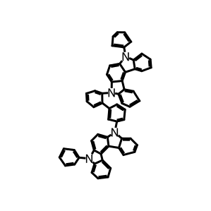 c1ccc(-n2c3ccccc3c3c4c5ccccc5n(-c5cccc(-c6ccccc6-n6c7ccccc7c7c8c9ccccc9n(-c9ccccc9)c8ccc76)c5)c4ccc32)cc1